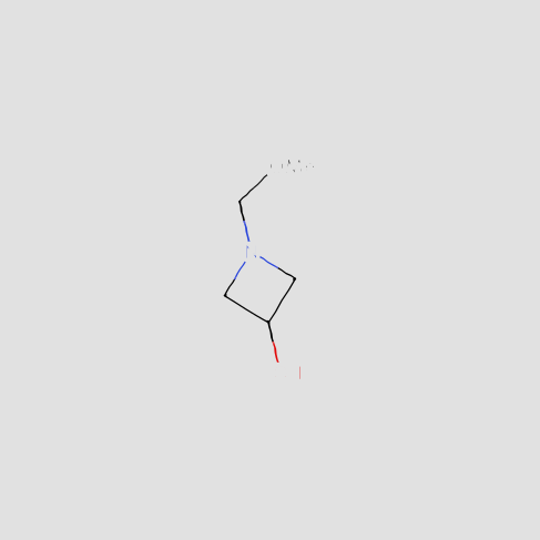 COCN1CC(O)C1